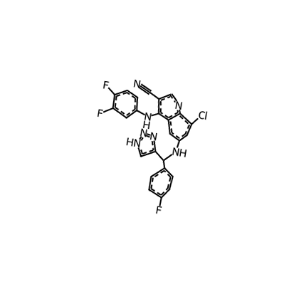 N#Cc1cnc2c(Cl)cc(NC(c3ccc(F)cc3)c3c[nH]nn3)cc2c1Nc1ccc(F)c(F)c1